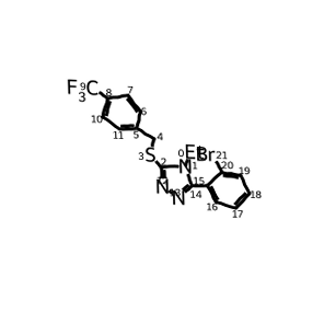 CCn1c(SCc2ccc(C(F)(F)F)cc2)nnc1-c1ccccc1Br